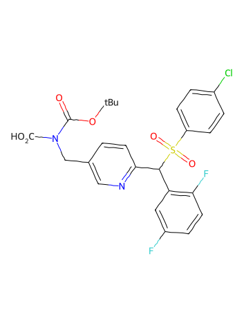 CC(C)(C)OC(=O)N(Cc1ccc(C(c2cc(F)ccc2F)S(=O)(=O)c2ccc(Cl)cc2)nc1)C(=O)O